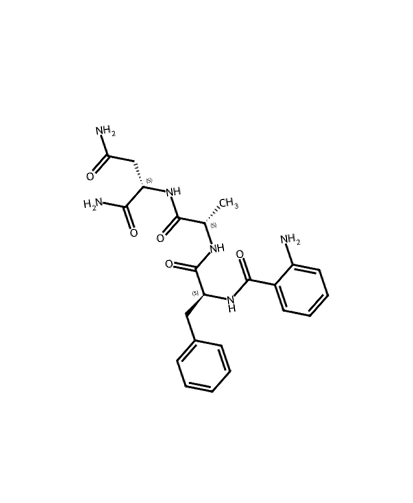 C[C@H](NC(=O)[C@H](Cc1ccccc1)NC(=O)c1ccccc1N)C(=O)N[C@@H](CC(N)=O)C(N)=O